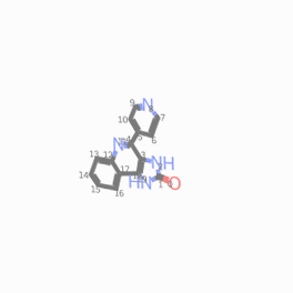 O=c1[nH]c2c(-c3ccncc3)nc3ccccc3c2[nH]1